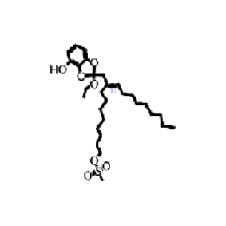 CCCCCCCC/C=C(\CCCCCCCCOS(C)(=O)=O)CC1(OCC)Oc2cccc(O)c2O1